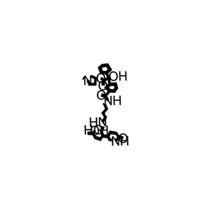 C=C(O)/C=C\C(=C1\C=CC(=O)NC1)[C@@H](O)CNCCCCNC(=O)c1cccc(C(O)(C(=O)O[C@@H]2CCN(C)C2)c2ccccc2)c1